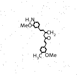 C=C(/C=C/c1ccc(N)c(OC)c1)CC(=O)/C=C/c1ccc(C)c(OC)c1